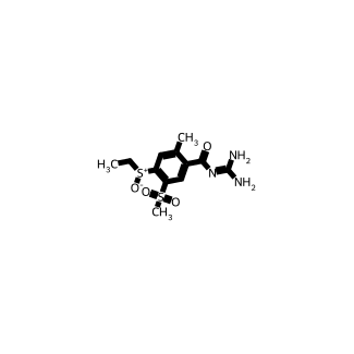 CC[S+]([O-])c1cc(C)c(C(=O)N=C(N)N)cc1S(C)(=O)=O